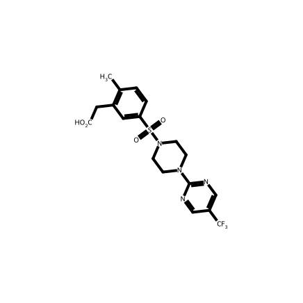 Cc1ccc(S(=O)(=O)N2CCN(c3ncc(C(F)(F)F)cn3)CC2)cc1CC(=O)O